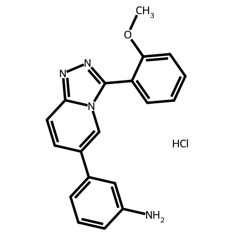 COc1ccccc1-c1nnc2ccc(-c3cccc(N)c3)cn12.Cl